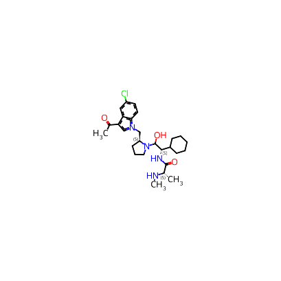 CN[C@@H](C)C(=O)N[C@@H](C1CCCCC1)C(O)N1CCC[C@H]1Cn1cc(C(C)=O)c2cc(Cl)ccc21